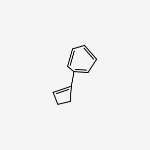 C1=C(c2ccccc2)CC1